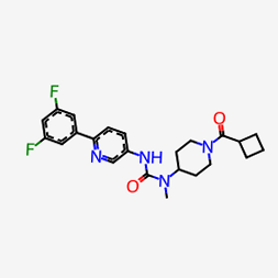 CN(C(=O)Nc1ccc(-c2cc(F)cc(F)c2)nc1)C1CCN(C(=O)C2CCC2)CC1